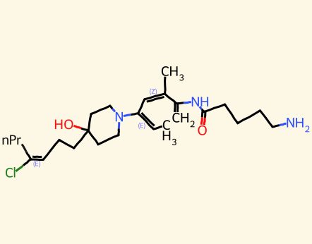 C=C(NC(=O)CCCCN)/C(C)=C\C(=C/C)N1CCC(O)(CC/C=C(/Cl)CCC)CC1